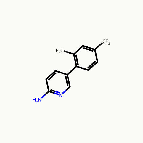 Nc1ccc(-c2ccc(C(F)(F)F)cc2C(F)(F)F)cn1